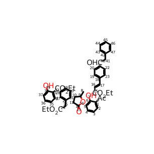 CC(=O)c1ccccc1O.CC1CCC(=O)O1.CCOC(=O)C=Cc1ccccc1.CCOC(=O)Cc1ccccc1.CCOC(=O)c1ccccc1O.O=CCc1ccccc1